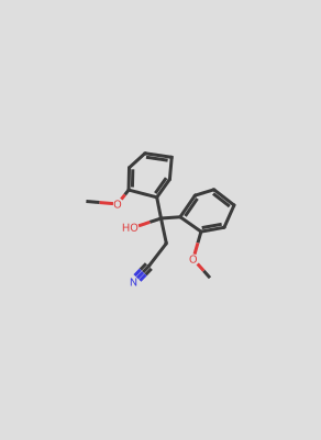 COc1ccccc1C(O)(CC#N)c1ccccc1OC